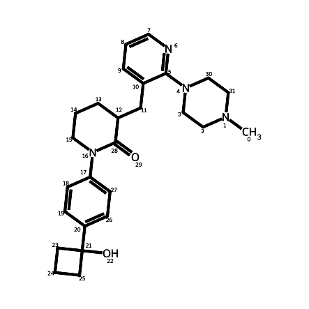 CN1CCN(c2ncccc2CC2CCCN(c3ccc(C4(O)CCC4)cc3)C2=O)CC1